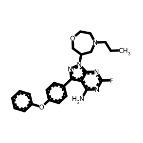 CCCN1CCOCC(n2nc(-c3ccc(Oc4ccccc4)cc3)c3c(N)nc(F)nc32)C1